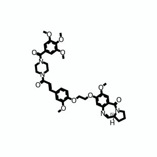 COc1cc(C=CC(=O)N2CCN(C(=O)c3cc(OC)c(OC)c(OC)c3)CC2)ccc1OCCOc1cc2c(cc1OC)C(=O)N1CCC[C@H]1C=N2